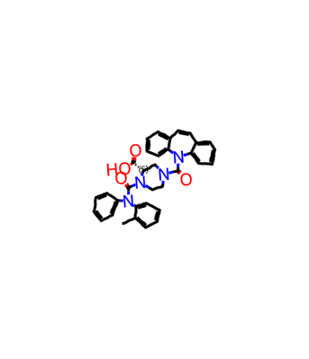 Cc1ccccc1N(C(=O)N1CCN(C(=O)N2c3ccccc3C=Cc3ccccc32)C[C@H]1C(=O)O)c1ccccc1